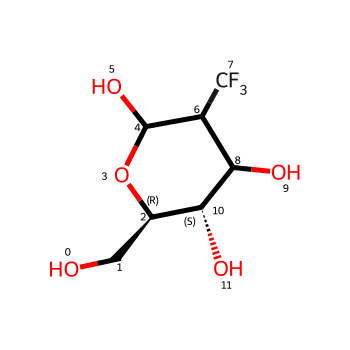 OC[C@H]1OC(O)C(C(F)(F)F)C(O)[C@@H]1O